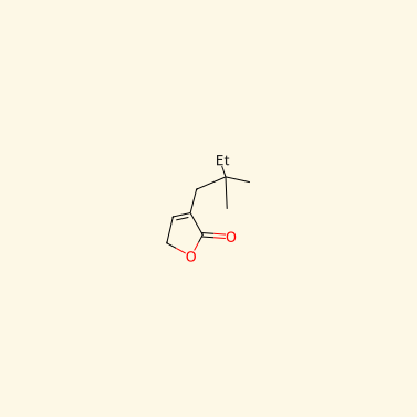 CCC(C)(C)CC1=CCOC1=O